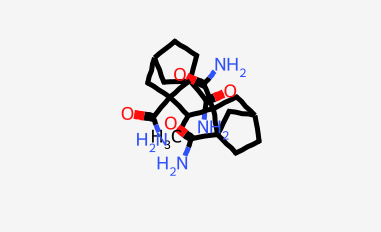 CC(C1(C(N)=O)CC2CCC1(C(N)=O)C2)C1(C(N)=O)CC2CCC1(C(N)=O)C2